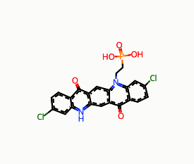 O=c1c2ccc(Cl)cc2[nH]c2cc3c(=O)c4ccc(Cl)cc4n(CCP(=O)(O)O)c3cc12